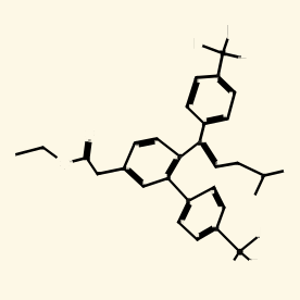 CCOC(=O)Cc1ccc(C(=CCC(C)C)c2ccc(C(F)(F)F)cc2)c(-c2ccc(C(F)(F)F)cc2)c1